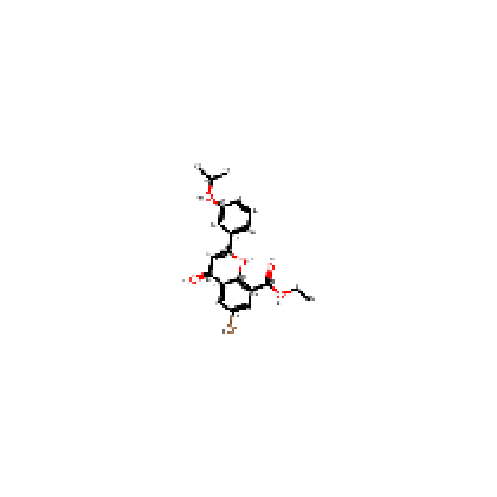 CCOC(=O)c1cc(Br)cc2c(=O)cc(-c3cccc(OC(C)C)c3)oc12